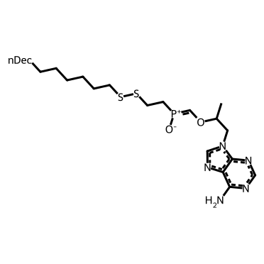 CCCCCCCCCCCCCCCCSSCC/[P+]([O-])=C/OC(C)Cn1cnc2c(N)ncnc21